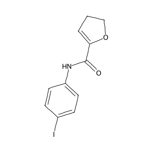 O=C(Nc1ccc(I)cc1)C1=CCCO1